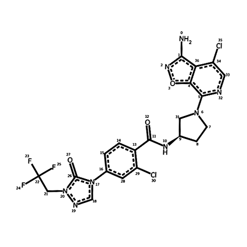 Nc1noc2c(N3CC[C@@H](NC(=O)c4ccc(-n5cnn(CC(F)(F)F)c5=O)cc4Cl)C3)ncc(Cl)c12